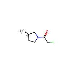 C[C@@H]1CCN(C(=O)CF)C1